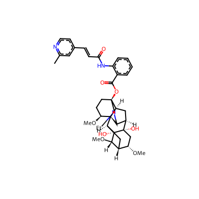 CCN1C[C@]2(OC(=O)c3ccccc3NC(=O)/C=C/c3ccnc(C)c3)CC[C@H](OC)[C@]34C1[C@@H](C[C@H]23)[C@@]1(O)C[C@H](OC)[C@H]2C[C@@H]4[C@]1(O)[C@H]2OC